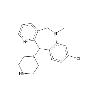 CN1Cc2cccnc2C(N2CCNCC2)c2ccc(Cl)cc21